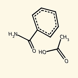 CC(=O)O.NC(=O)c1ccccc1